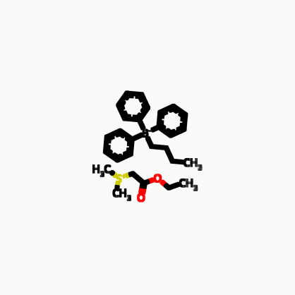 CCCC[B-](c1ccccc1)(c1ccccc1)c1ccccc1.CCOC(=O)C[S+](C)C